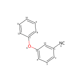 [C-]#[N+]c1cccc(Oc2ccccc2)c1